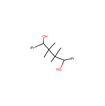 CC(C)C(O)C(C)(C)C(C)(C)C(O)C(C)C